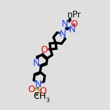 CCCc1nc(N2CCC3(CC2)CC2(Cc4cc(C5=CCN(S(C)(=O)=O)CC5)ncc4O2)C3)no1